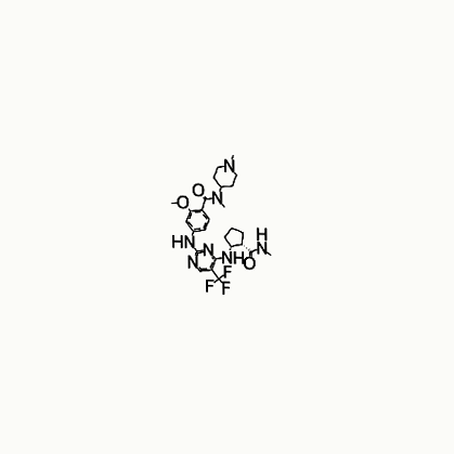 CNC(=O)[C@H]1CCC[C@H]1Nc1nc(Nc2ccc(C(=O)N(C)C3CCN(C)CC3)c(OC)c2)ncc1C(F)(F)F